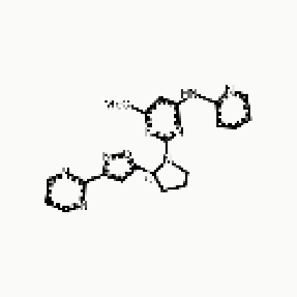 COc1cc(Nc2ccccn2)nc(N2CCC[C@H]2c2cc(-c3ncccn3)no2)n1